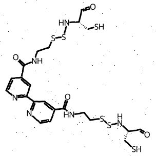 O=C[C@H](CS)NSSCCNC(=O)c1ccnc(-c2cc(C(=O)NCCSSN[C@H](C=O)CS)ccn2)c1